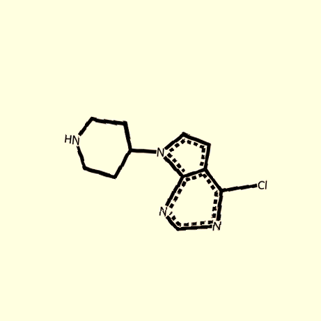 Clc1ncnc2c1ccn2C1CCNCC1